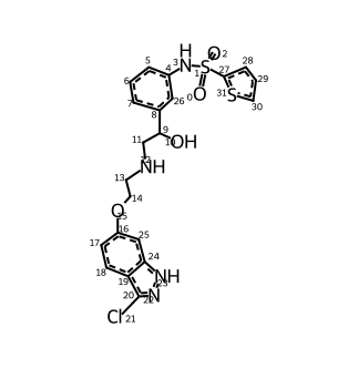 O=S(=O)(Nc1cccc(C(O)CNCCOc2ccc3c(Cl)n[nH]c3c2)c1)c1cccs1